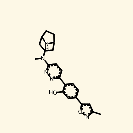 Cc1cc(-c2ccc(-c3ccc(N(C)C4CC5CCC(C4)N5)nn3)c(O)c2)on1